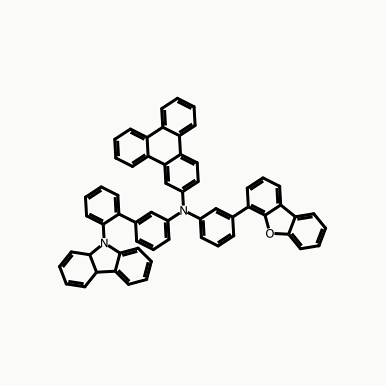 C1=CC2c3ccccc3N(c3ccccc3-c3cccc(N(c4cccc(-c5cccc6c5oc5ccccc56)c4)c4ccc5c6ccccc6c6ccccc6c5c4)c3)C2C=C1